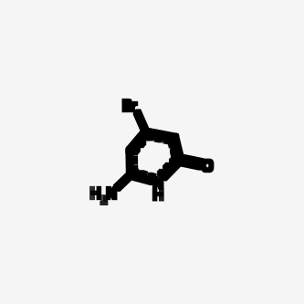 Nc1cc(Br)cc(=O)[nH]1